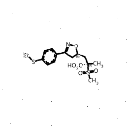 CCSc1ccc(C2=NO[C@@H](C[C@](C)(C(=O)O)S(C)(=O)=O)C2)cc1